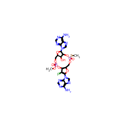 COP1(=O)OCC2OC(n3cnc4c(N)ncnc43)C(OP(=O)(SC)OCC3OC(n4cnc5c(N)ncnc54)C(F)C3O1)C2O